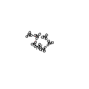 c1ccc(-n2c3ccccc3c3cc(-c4ccc5c(c4)c4cc(-c6ccc7c(c6)c6ccccc6n7-c6cccc(-c7nc(-c8cccc(-n9c%10ccccc%10c%10cc(-c%11ccc%12c(c%11)c%11cc(-c%13ccc%14c(c%13)c%13ccccc%13n%14-c%13ccccc%13)ccc%11n%12-c%11ccccc%11)ccc%109)c8)c8ccccc8n7)c6)ccc4n5-c4ccccc4)ccc32)cc1